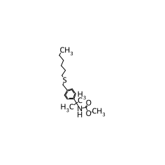 CCCCCCSCc1ccc(C(C)(C)NC(=O)OC)cc1